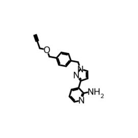 C#CCOCc1ccc(Cn2ccc(-c3cccnc3N)n2)cc1